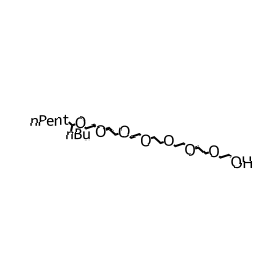 CCCCCC(CCCC)OCCOCCOCCOCCOCCOCCOCCO